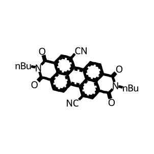 CCCCN1C(=O)c2ccc3c4c(C#N)cc5c6c(ccc(c7c(C#N)cc(c2c37)C1=O)c64)C(=O)N(CCCC)C5=O